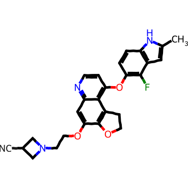 Cc1cc2c(F)c(Oc3ccnc4cc(OCCN5CC(C#N)C5)c5c(c34)CCO5)ccc2[nH]1